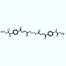 O=C(CO)Nc1ccc(C(=O)OCC(=O)OCCOC(=O)COC(=O)c2ccc(NC(=O)CO)cc2)cc1